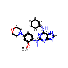 CCOc1cc(N2CCOCC2)ccc1Nc1nc(NC2CCCCC2)c2nc[nH]c2n1